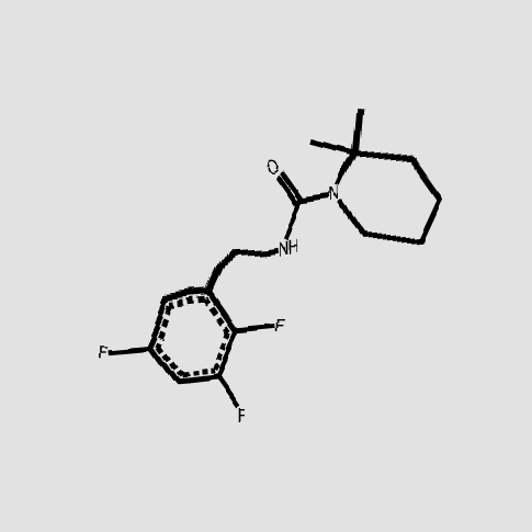 CC1(C)CCCCN1C(=O)NCc1cc(F)cc(F)c1F